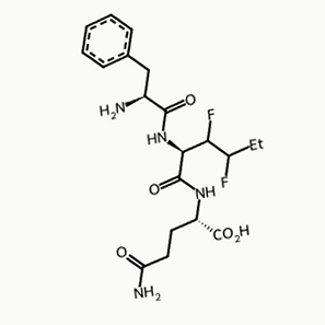 CCC(F)C(F)[C@H](NC(=O)[C@@H](N)Cc1ccccc1)C(=O)N[C@@H](CCC(N)=O)C(=O)O